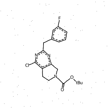 CC(C)(C)OC(=O)N1CCc2c(Cl)nc(Cc3cccc(F)c3)nc2C1